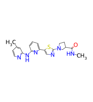 CNC(=O)C1CCN(c2ncc(-c3cccc(Nc4cc(C)ccn4)n3)s2)C1